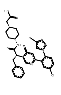 O=C(O)C[C@H]1CC[C@H](NC(=O)[C@H](Cc2ccccc2)n2cnc(-c3cc(Cl)ccc3-n3cc(Cl)nn3)cc2=O)CC1